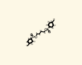 Cc1ccc(S(=O)OCCCCOS(=O)c2ccc(C)cc2)cc1